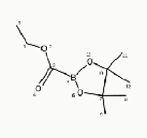 CCOC(=O)B1OC(C)(C)C(C)(C)O1